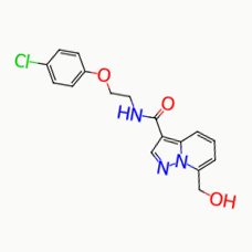 O=C(NCCOc1ccc(Cl)cc1)c1cnn2c(CO)cccc12